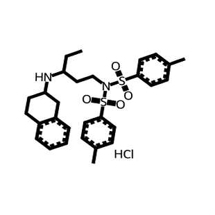 CCC(CCN(S(=O)(=O)c1ccc(C)cc1)S(=O)(=O)c1ccc(C)cc1)NC1CCc2ccccc2C1.Cl